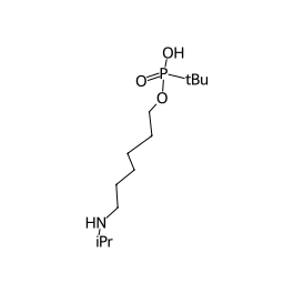 CC(C)NCCCCCCOP(=O)(O)C(C)(C)C